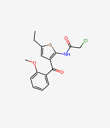 CCc1cc(C(=O)c2ccccc2OC)c(NC(=O)CCl)s1